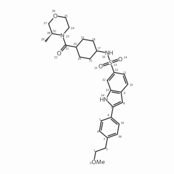 COCCc1ccc(-c2cc3ccc(S(=O)(=O)NC4CCC(C(=O)N5CCOC[C@@H]5C)CC4)cc3[nH]2)cc1